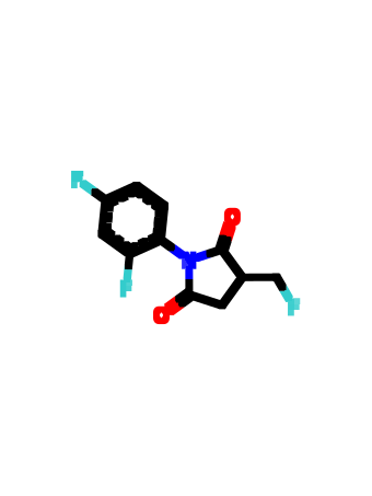 O=C1CC(CF)C(=O)N1c1ccc(F)cc1F